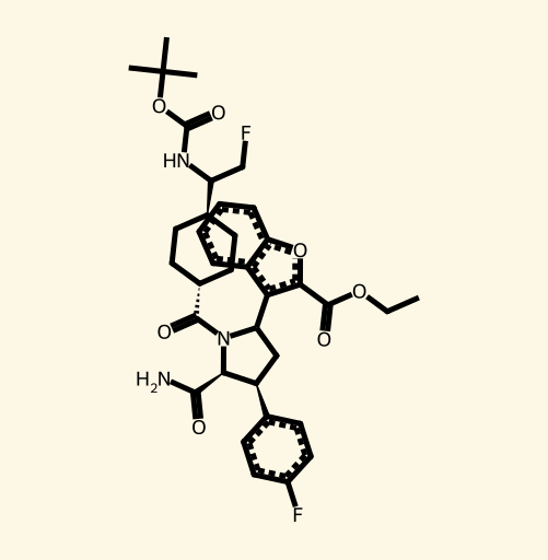 CCOC(=O)c1oc2ccccc2c1C1C[C@@H](c2ccc(F)cc2)[C@@H](C(N)=O)N1C(=O)[C@H]1CC[C@H](C(CF)NC(=O)OC(C)(C)C)CC1